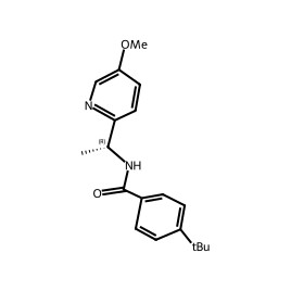 COc1ccc([C@@H](C)NC(=O)c2ccc(C(C)(C)C)cc2)nc1